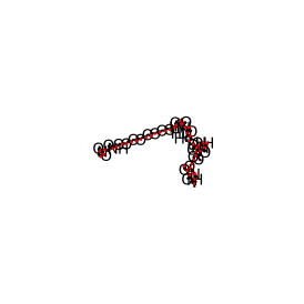 COc1cc2c(cc1OCCCOc1cc3c(cc1OC)C(=O)N1C=C(C)C[C@H]1[C@H](O)N3C(=O)OCc1ccc(NC(=O)[C@H](C)NC(=O)[C@@H](NC(=O)CCOCCOCCOCCOCCOCCOCCOCCOCCNC(=O)CCN3C(=O)C=CC3=O)C(C)C)cc1)N=C[C@@H]1CC(C)=CN1C2=O